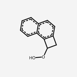 OOC1Cc2ccc3ccccc3c21